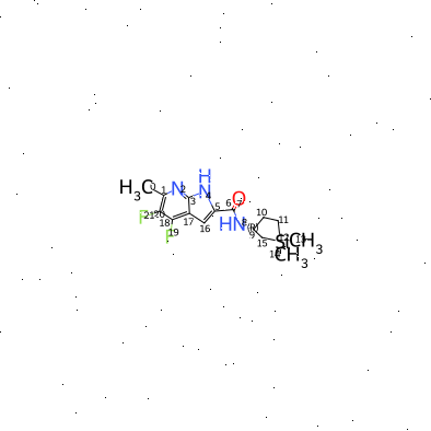 Cc1nc2[nH]c(C(=O)N[C@@H]3CC[Si](C)(C)C3)cc2c(F)c1F